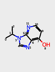 CC(C)n1cnc2c(O)ccnc21